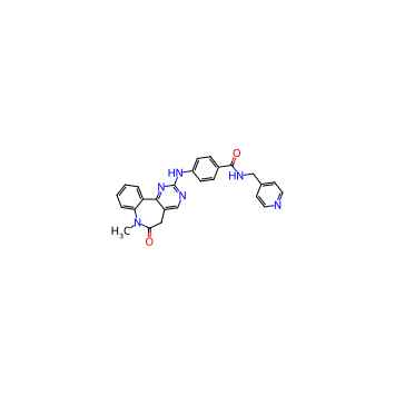 CN1C(=O)Cc2cnc(Nc3ccc(C(=O)NCc4ccncc4)cc3)nc2-c2ccccc21